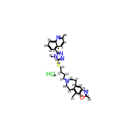 Cc1ccc2c(-c3nnc(SCCCCN4CCc5cc6nc(C)oc6c(C)c5CC4)n3C)cccc2n1.Cl